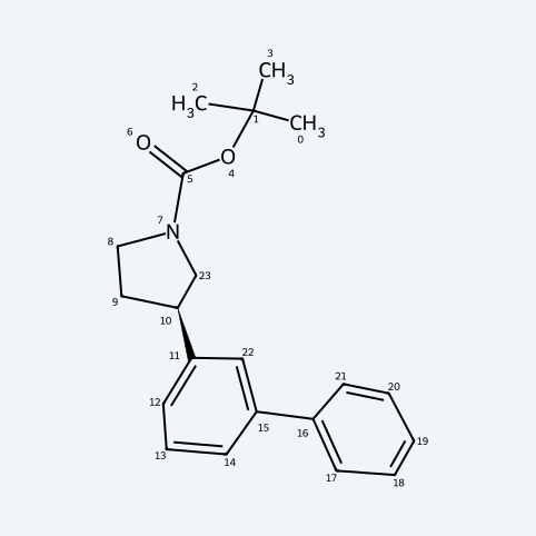 CC(C)(C)OC(=O)N1CC[C@H](c2cccc(-c3ccccc3)c2)C1